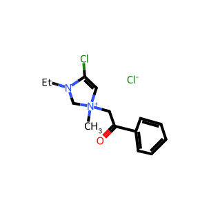 CCN1C[N+](C)(CC(=O)c2ccccc2)C=C1Cl.[Cl-]